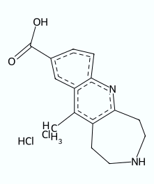 Cc1c2c(nc3ccc(C(=O)O)cc13)CCNCC2.Cl.Cl